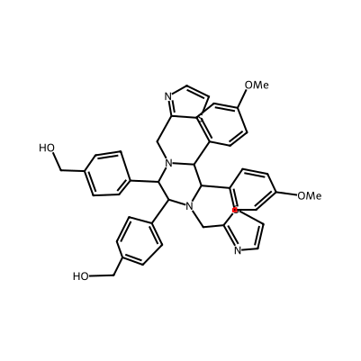 COc1ccc(C2C(c3ccc(OC)cc3)N(Cc3nccs3)C(c3ccc(CO)cc3)C(c3ccc(CO)cc3)N2Cc2nccs2)cc1